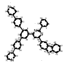 c1ccc(-c2nc(-c3cc(-c4ccc(-c5ccncc5)cc4)cc(-c4ccc(-c5cccnc5)cc4)c3)cc(-c3ccc4sc5ccccc5c4c3)n2)cc1